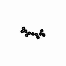 c1ccc2c(c1)c1ccccc1c1cc(-n3c4ccccc4c4cc(-c5ccc(-c6ccc7c(c6)c6ccccc6n7-c6cc7c8ccccc8n8c9ccccc9c(c6)c78)cc5)ccc43)ccc21